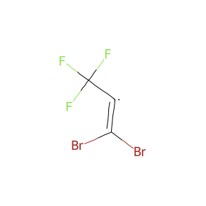 FC(F)(F)[C]=C(Br)Br